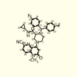 Cn1c(=O)cc(N2CCN(C(c3ccc(F)cc3)c3ccc(F)cc3)C(C(=O)NC3CC3)C2)c2nc(C#N)ccc21